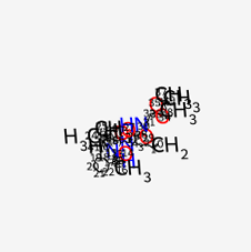 C=CCCC(NC(=O)[C@@H]1[C@@H]2[C@H](CN1C(=O)[C@@H](C)C1CCCCC1)C2(C)C)C(=O)C(=O)NCCC(=O)OC(C)(C)C